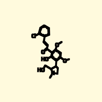 COc1cc(OC)c(C2CCN(C)C2CO)c(O)c1C(=O)C=Cc1ccccc1Cl